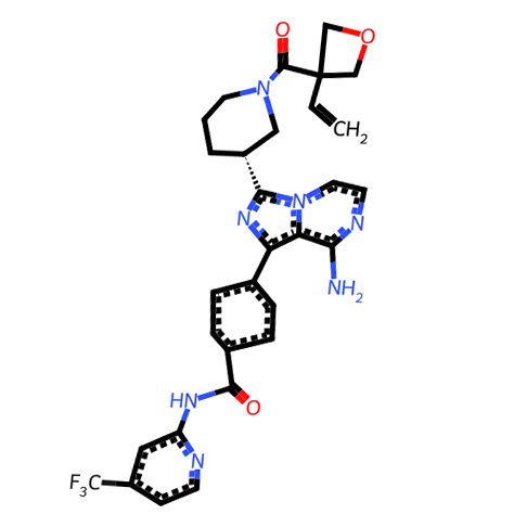 C=CC1(C(=O)N2CCC[C@@H](c3nc(-c4ccc(C(=O)Nc5cc(C(F)(F)F)ccn5)cc4)c4c(N)nccn34)C2)COC1